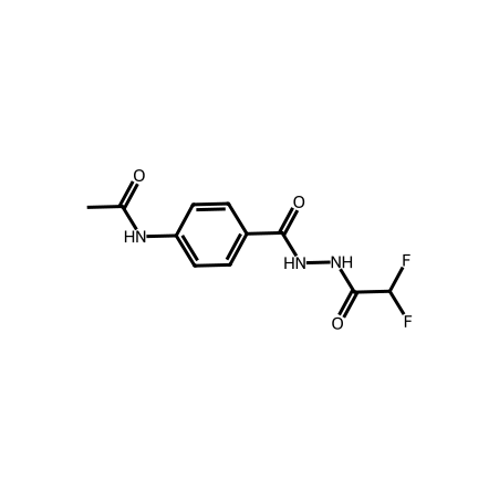 CC(=O)Nc1ccc(C(=O)NNC(=O)C(F)F)cc1